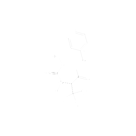 CC(C)(C)OC(=O)N1CSC(C)(C)C1C(=O)OCc1ccccc1